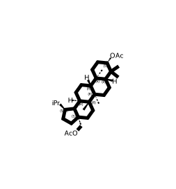 CC(=O)OC[C@]12CC[C@@H](C(C)C)C1[C@H]1CC[C@@H]3[C@@]4(C)CC[C@H](OC(C)=O)C(C)(C)[C@@H]4CC[C@@]3(C)[C@]1(C)CC2